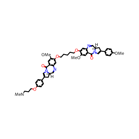 CNCCCOc1ccc(C2=CN3C(=O)c4cc(OC)c(OCCCCCOc5cc6c(cc5OC)C(=O)N5C=C(c7ccc(OC)cc7)C[C@H]5C=N6)cc4N=C[C@@H]3C2)cc1